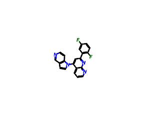 Fc1ccc(F)c(-c2cc(-n3ccc4cnccc43)c3cccnc3n2)c1